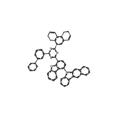 C1=Cc2cc(-c3nc(-c4cccc(-c5ccccc5)c4)nc(-c4ccc(-n5c6ccccc6c6cc7ccccc7cc65)c5c4oc4ccccc45)n3)c3c(c2CC1)C=CCC3